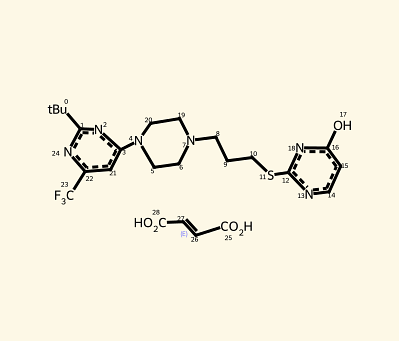 CC(C)(C)c1nc(N2CCN(CCCSc3nccc(O)n3)CC2)cc(C(F)(F)F)n1.O=C(O)/C=C/C(=O)O